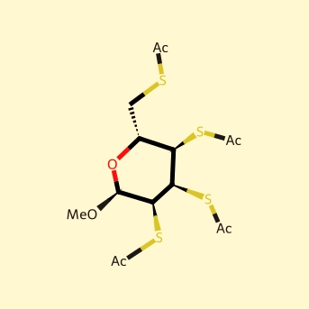 CO[C@H]1O[C@H](CSC(C)=O)[C@@H](SC(C)=O)[C@@H](SC(C)=O)[C@H]1SC(C)=O